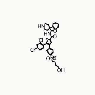 O=C(NC(=O)C1(c2ccccc2)CCNCC1)c1cc(-c2ccc(S(=O)(=O)CCCCO)cc2)c(-c2ccc(Cl)cc2Cl)s1